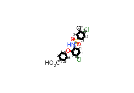 O=C(O)c1ccc(Oc2cc(Cl)ccc2NS(=O)(=O)c2ccc(Cl)c(C(F)(F)F)c2)cc1